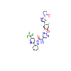 CC1C=C(Oc2ncc(NC(=O)Nc3cc(C(F)(F)F)cnc3C3CCCCC3)cn2)C=CC1c1cnc(N2CCCC2=O)s1